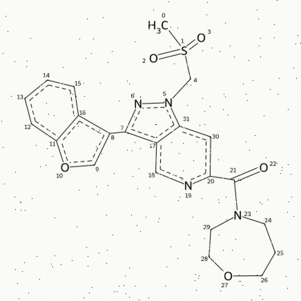 CS(=O)(=O)Cn1nc(-c2coc3ccccc23)c2cnc(C(=O)N3CCCOCC3)cc21